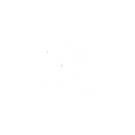 O/N=C\c1cccc[n+]1COCCl.[Cl-]